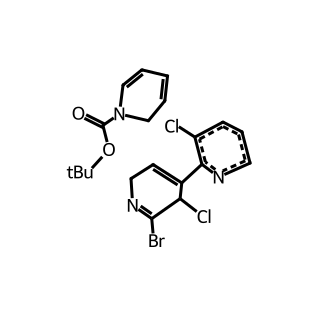 CC(C)(C)OC(=O)N1C=CC=CC1.Clc1cccnc1C1=CCN=C(Br)C1Cl